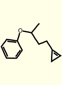 CC(CCC1=CC1)Oc1ccccc1